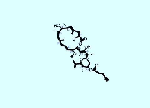 C#CCCC(=O)O[C@@H]1C[C@H]([C@@H](C)[C@H](O)[C@H](C)[C@H]2OC(=O)/C(OC)=C/C(C)=C/[C@@H](C)[C@@H](O)[C@@H](C)C/C(C)=C/C=C/[C@@H]2OC)OC(C(C)C)[C@H]1C